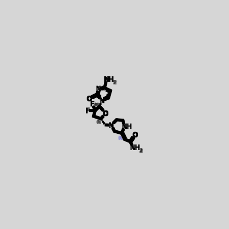 NC(=O)/C=C1/CN(C[C@@H]2CC(F)(F)[C@H](n3ccc(N)nc3=O)O2)CCN1